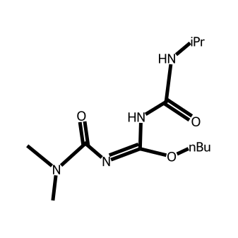 CCCCOC(=NC(=O)N(C)C)NC(=O)NC(C)C